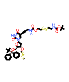 CSSCO[C@H]1C[C@H](n2cc(C#CCNC(=O)OCCSSCCNC(=O)OC(C)(C)C)c(=O)[nH]c2=O)O[C@@H]1CO[Si](c1ccccc1)(c1ccccc1)C(C)(C)C